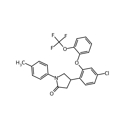 Cc1ccc(N2CC(c3ccc(Cl)cc3Oc3ccccc3OC(F)(F)F)CC2=O)cc1